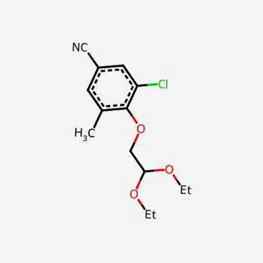 CCOC(COc1c(C)cc(C#N)cc1Cl)OCC